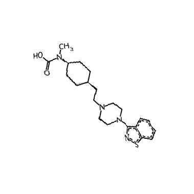 CN(C(=O)O)[C@H]1CC[C@@H](CCN2CCN(c3nsc4ccccc34)CC2)CC1